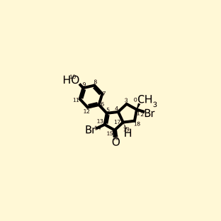 C[C@]1(Br)CC2C(c3ccc(O)cc3)=C(Br)C(=O)[C@@H]2C1